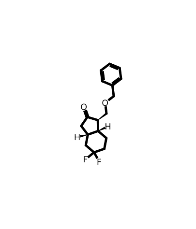 O=C1C[C@H]2CC(F)(F)CC[C@H]2[C@@H]1COCc1ccccc1